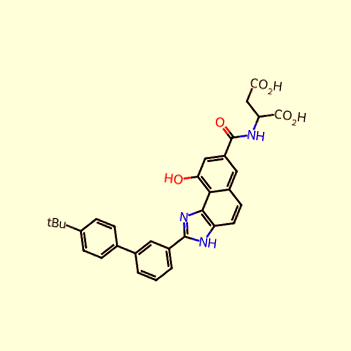 CC(C)(C)c1ccc(-c2cccc(-c3nc4c(ccc5cc(C(=O)NC(CC(=O)O)C(=O)O)cc(O)c54)[nH]3)c2)cc1